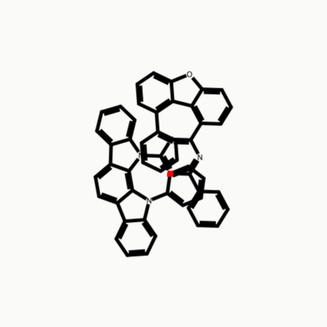 c1ccc(-c2nc(-c3cccc4oc5cccc(-c6ccccc6)c5c34)nc(-n3c4ccccc4c4ccc5c6ccccc6n(-c6ccccc6)c5c43)n2)cc1